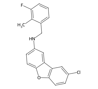 Cc1c(F)cccc1CNc1ccc2oc3ccc(Cl)cc3c2c1